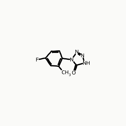 Cc1cc(F)ccc1-n1nn[nH]c1=O